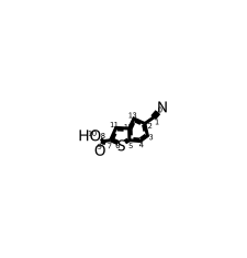 N#Cc1ccc2sc(C(=O)O)cc2c1